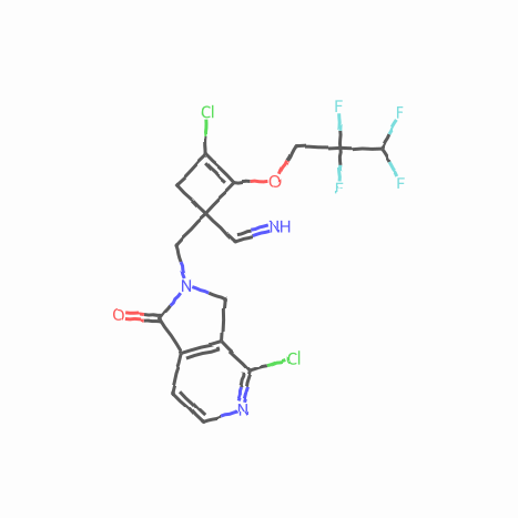 N=CC1(CN2Cc3c(ccnc3Cl)C2=O)CC(Cl)=C1OCC(F)(F)C(F)F